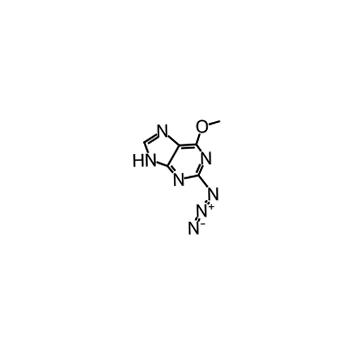 COc1nc(N=[N+]=[N-])nc2[nH]cnc12